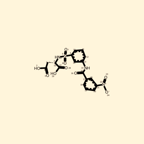 O=C(O)C[C@H](NS(=O)(=O)c1cccc(NC(=O)c2cccc([N+](=O)[O-])c2)c1)C(=O)O